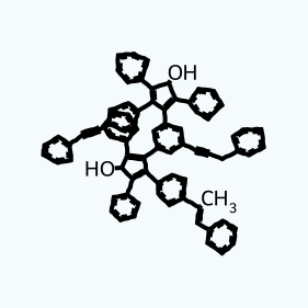 C/C(=C\c1ccccc1)c1ccc(C2=C(c3ccccc3)C(O)C(c3ccccc3)=C2c2cc(C#CCc3ccccc3)cc(C3=C(c4ccccc4)C(O)C(c4ccccc4)=C3c3ccc(C#Cc4ccccc4)cc3)c2)cc1